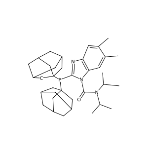 Cc1cc2nc(P(C34CC5CC(CC(C5)C3)C4)C34CC5CC(CC(C5)C3)C4)n(C(=O)N(C(C)C)C(C)C)c2cc1C